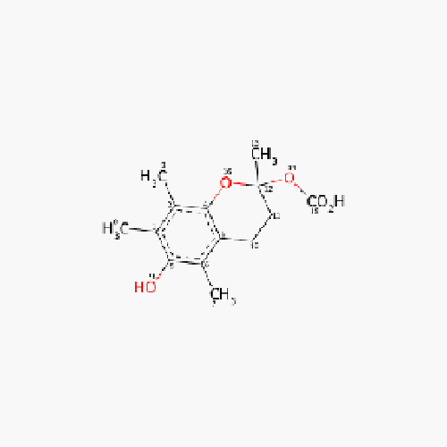 Cc1c(C)c2c(c(C)c1O)CCC(C)(OC(=O)O)O2